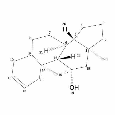 C[C@@]12CCC[C@H]1[C@@H]1CCC3CC=CC[C@]3(C)[C@H]1[C@@H](O)C2